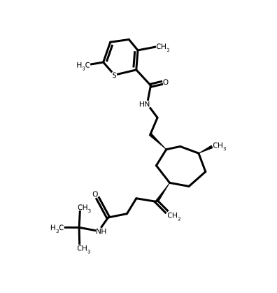 C=C(CCC(=O)NC(C)(C)C)[C@@H]1CC[C@H](C)C[C@H](CCNC(=O)C2=C(C)CC=C(C)S2)C1